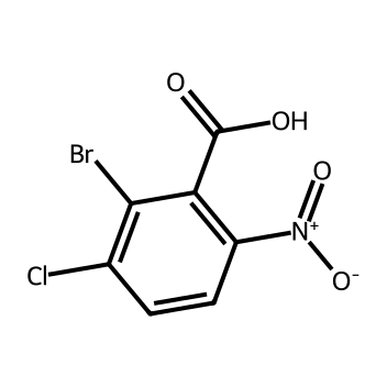 O=C(O)c1c([N+](=O)[O-])ccc(Cl)c1Br